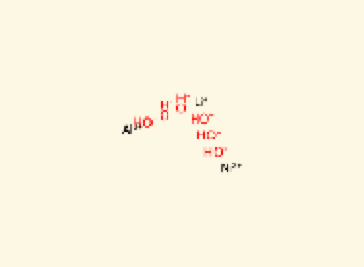 [Al+3].[Li+].[Ni+2].[OH-].[OH-].[OH-].[OH-].[OH-].[OH-]